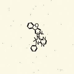 CN1C=c2oc3ccccc3c2=CB1N1c2nccnc2N(c2ccccc2)C1(C)C